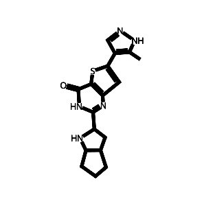 Cc1[nH]ncc1-c1cc2nc(C3CC4CCCC4N3)[nH]c(=O)c2s1